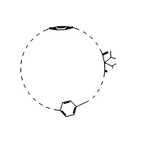 CC(C)C1(C(C)C)C(=O)OCCOc2ccc(cc2)OCCOCCOCCOCCOc2ccc(cc2)OCCOC1=O